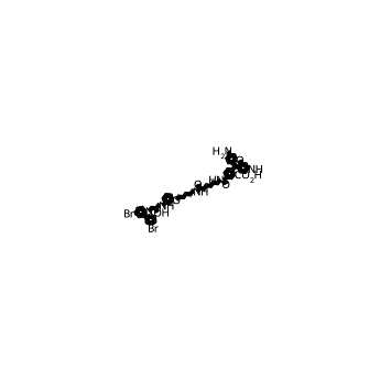 N=c1ccc2c(-c3ccc(C(=O)NCCCCCC(=O)NCCCCCOc4cccc(NCC(O)Cn5c6ccc(Br)cc6c6cc(Br)ccc65)c4)cc3C(=O)O)c3ccc(N)cc3oc-2c1